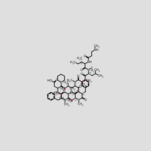 CC[C@H](C)C(NC(=O)CCNC)C(=O)N(C)[C@@H](CC(C)C)C(=O)N(C)[C@@H](C)C(=O)N(C)C(CC(C)C)C(=O)N(C)[C@@H](Cc1ccccc1)C(=O)N(C)[C@@H](C)C(=O)N(C)C(CC(C)C)C(=O)N(C)C(Cc1ccccc1)C(=O)NC(CC(=O)O)C(=O)N1CCCCC1